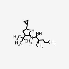 C=C(CCC)C(=N)/N=C1\NC(C2CC2)CC1C(C)(C)C